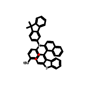 CC(C)(C)c1ccc(N(c2ccc3c(c2)-c2ccccc2C3(C)C)c2ccc3ccccc3c2-c2cccc3sc4ccccc4c23)cc1